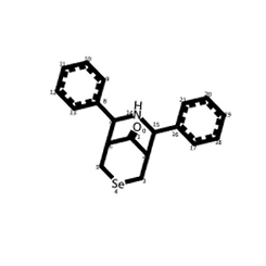 O=C1C2C[Se]CC1C(c1ccccc1)NC2c1ccccc1